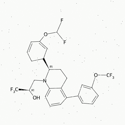 O[C@H](CN1c2cccc(-c3cccc(OC(F)(F)F)c3)c2CC[C@@H]1C1C=C(OC(F)F)C=CC1)C(F)(F)F